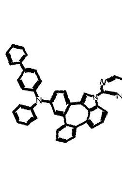 c1ccc(-c2ccc(N(c3ccccc3)c3ccc4c(c3)-c3ccccc3-c3cccc5c3c-4cn5-c3ncccn3)cc2)cc1